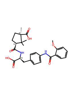 COc1ccccc1C(=O)Nc1ccc(C[C@H](NC(=O)[C@H]2CC[C@@](C)(C(=O)O)C2(C)C)C(=O)O)cc1